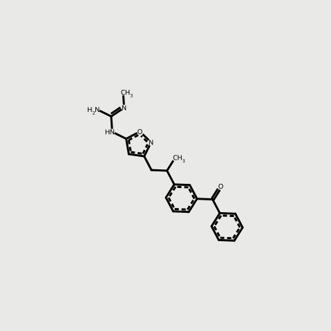 CN=C(N)Nc1cc(CC(C)c2cccc(C(=O)c3ccccc3)c2)no1